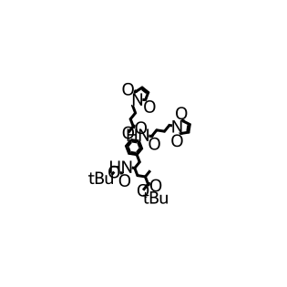 CC(CC(Cc1ccc(OC(=O)CCCN2C(=O)C=CC2=O)c(NC(=O)CCCN2C(=O)C=CC2=O)c1)NC(=O)OC(C)(C)C)C(=O)OC(C)(C)C